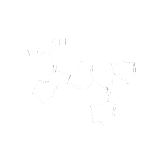 CC(C)n1c2ccccc2c2cc(N(c3ccccc3)c3ccccc3)ccc21